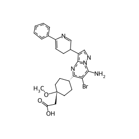 CO[C@]1(CC(=O)O)CC[C@H](c2nc3c(C4C=NC(c5ccccc5)=CC4)cnn3c(N)c2Br)CC1